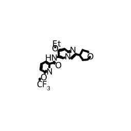 CCOc1cc2nc(C3CCOCC3)cn2cc1NC(=O)c1cccc(OCC(F)(F)F)n1